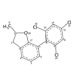 CC1Cc2cccc(-c3c(Cl)cc(Cl)cc3Cl)c2O1